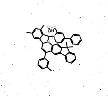 Cc1cccc(C2=CC3c4cc(C)cc(C)c4[C@@](O)(N4CC=C(c5ccccc5)C=C4C=O)N3c3cc4c(cc32)-c2ccccc2C4(C)C)c1